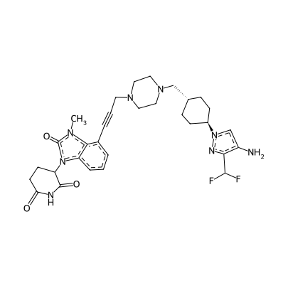 Cn1c(=O)n(C2CCC(=O)NC2=O)c2cccc(C#CCN3CCN(C[C@H]4CC[C@H](n5cc(N)c(C(F)F)n5)CC4)CC3)c21